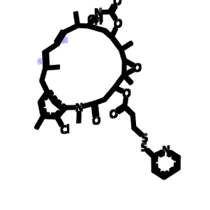 C/C1=C\C=C\C(C)C2(O)CC(OC(=O)N2)C(C)C2OC2(C)C(OC(=O)CCSSc2ccccn2)CC(=O)N(C)c2cc(cc(C)c2Cl)C1